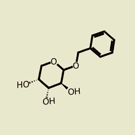 O[C@@H]1[C@H](O)COC(OCc2ccccc2)[C@H]1O